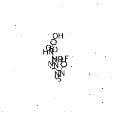 O=S(=O)(NCCNc1nccc(-c2c(-c3ccc(F)c(O)c3)nc3sccn23)n1)c1ccc(O)cc1